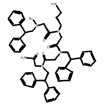 CC(=O)N(CC(=O)N(CCCN)CC(=O)N(CC(=O)N(CC(N)=O)CC(c1ccccc1)c1ccccc1)CC(c1ccccc1)c1ccccc1)CC(c1ccccc1)c1ccccc1